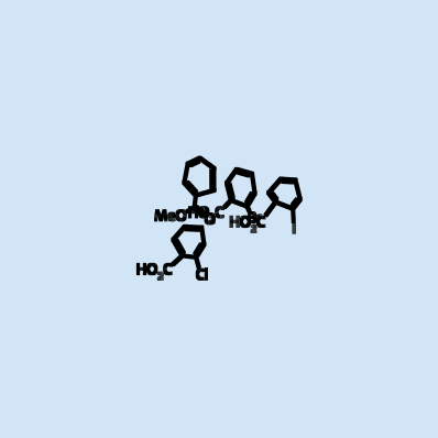 COC(=O)c1ccccc1.O=C(O)c1ccccc1Br.O=C(O)c1ccccc1Cl.O=C(O)c1ccccc1I